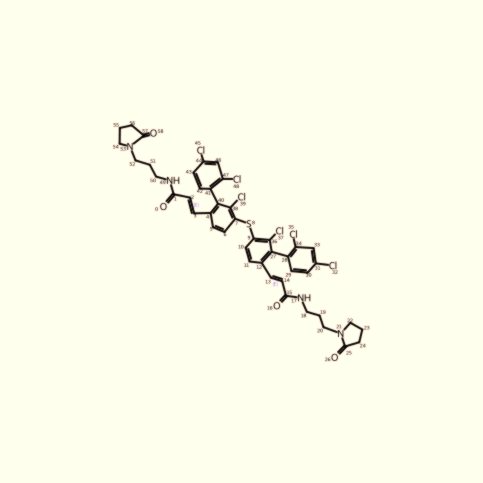 O=C(/C=C/c1ccc(Sc2ccc(/C=C/C(=O)NCCCN3CCCC3=O)c(-c3ccc(Cl)cc3Cl)c2Cl)c(Cl)c1-c1ccc(Cl)cc1Cl)NCCCN1CCCC1=O